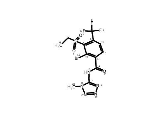 CCS(=O)(=O)c1c(C(F)(F)F)ccc(C(=O)Nc2nnnn2C)c1Br